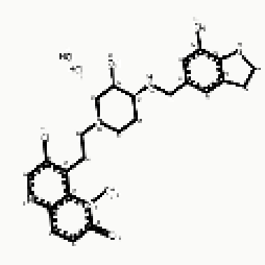 Cl.Cl.Cn1c(=O)ccc2ncc(Cl)c(CCN3CC[C@H](NCc4cc(C#N)c5c(c4)CCO5)[C@H](O)C3)c21